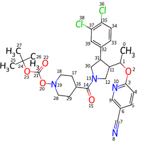 CC(Oc1ccc(C#N)cn1)C1CN(C(=O)C2CCN(OC(=O)OC(C)(C)C)CC2)CC1c1ccc(Cl)c(Cl)c1